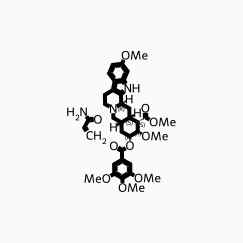 C=CC(N)=O.COC(=O)[C@H]1[C@H]2C[C@@H]3c4[nH]c5cc(OC)ccc5c4CCN3C[C@H]2C[C@@H](OC(=O)c2cc(OC)c(OC)c(OC)c2)[C@@H]1OC